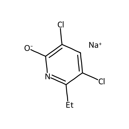 CCc1nc([O-])c(Cl)cc1Cl.[Na+]